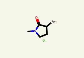 CN1CC[CH]([Zn+])C1=O.[Br-]